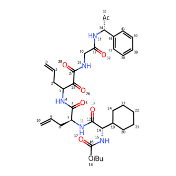 C=CCC(NC(=O)[C@H](CC=C)NC(=O)[C@@H](NC(=O)OCC(C)C)C1CCCCC1)C(=O)C(=O)NCC(=O)N[C@H](C(C)=O)c1ccccc1